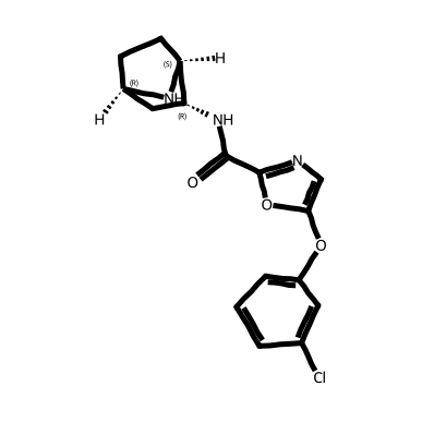 O=C(N[C@@H]1C[C@H]2CC[C@@H]1N2)c1ncc(Oc2cccc(Cl)c2)o1